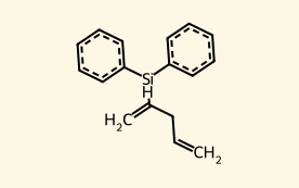 C=CCC(=C)[SiH](c1ccccc1)c1ccccc1